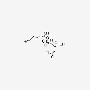 C#CCCCC(C)(C)OC(=O)C1C(C=C(Cl)Cl)C1(C)C